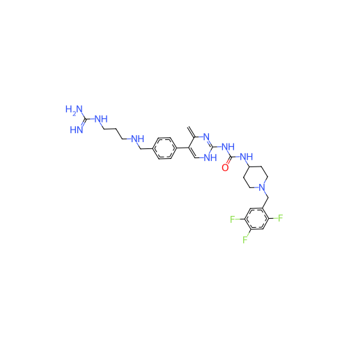 C=C1N=C(NC(=O)NC2CCN(Cc3cc(F)c(F)cc3F)CC2)NC=C1c1ccc(CNCCCNC(=N)N)cc1